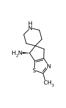 Cc1nc2c(s1)[C@@H](N)C1(CCNCC1)C2